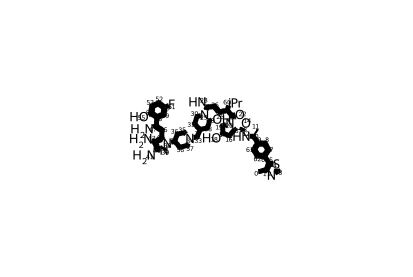 Cc1ncsc1-c1ccc([C@H](C)NC(=O)[C@@H]2C[C@@H](O)CN2C(=O)C(/C(O)=C/C(=N)N2CCC(CN3CCC(n4nc(N)c(N)c4/C=C(\N)c4cc(F)ccc4O)CC3)CC2)C(C)C)cc1